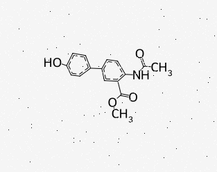 COC(=O)c1cc(-c2ccc(O)cc2)ccc1NC(C)=O